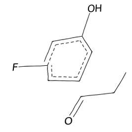 CCC=O.Oc1cccc(F)c1